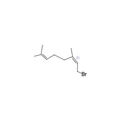 CC(C)=CCC/C(C)=C\CBr